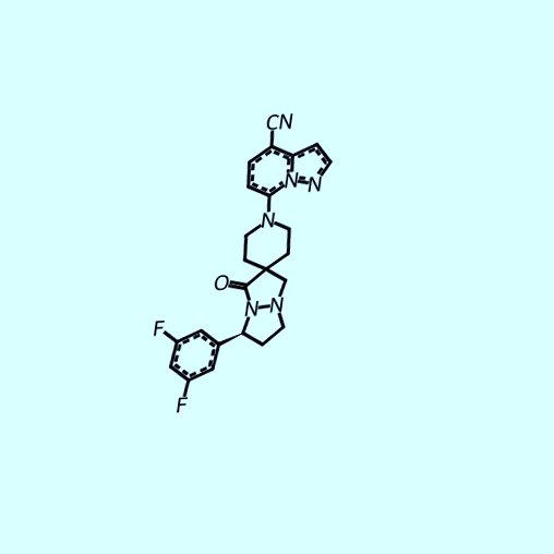 N#Cc1ccc(N2CCC3(CC2)CN2CC[C@@H](c4cc(F)cc(F)c4)N2C3=O)n2nccc12